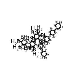 Bc1c(B)c(B)c(-c2c(B)c(B)c(-c3nc(-c4ccccc4)nc(-c4ccc(-c5ccc(-c6ccccc6)cc5)cc4)n3)c3c2sc2c(B)c(B)c(B)c(B)c23)c(B)c1B